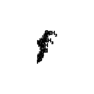 C=CC(=O)N1CCC(N(C)c2ccc3ncnc(Nc4ccc(OCc5cnc(OCF)cn5)c(Cl)c4)c3n2)C1